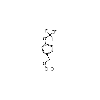 O=[C]OCc1ccc(OC(F)(F)C(F)(F)F)cc1